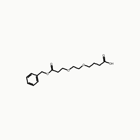 O=C(O)CCCOCCOCCC(=O)OCc1ccccc1